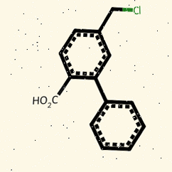 O=C(O)c1ccc(CCl)cc1-c1ccccc1